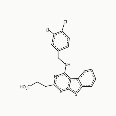 O=C(O)CCc1nc(NCc2ccc(Cl)c(Cl)c2)c2c(n1)sc1ccccc12